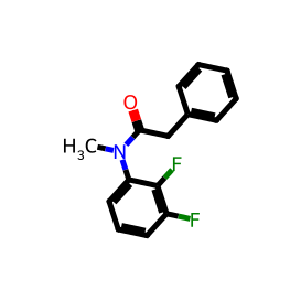 CN(C(=O)Cc1ccccc1)c1cccc(F)c1F